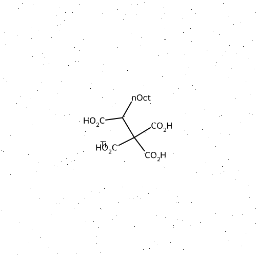 CCCCCCCCC(C(=O)O)C(C(=O)O)(C(=O)O)C(=O)O.[Ti]